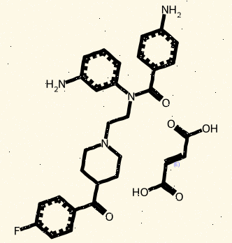 Nc1ccc(C(=O)N(CCN2CCC(C(=O)c3ccc(F)cc3)CC2)c2cccc(N)c2)cc1.O=C(O)/C=C/C(=O)O